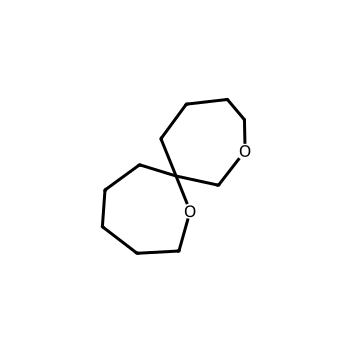 C1CCOC2(CC1)CCCCOC2